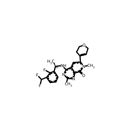 Cc1nc(N[C@H](C)c2cccc(C(F)F)c2F)c2cc(C3=CCOCC3)n(C)c(=O)c2n1